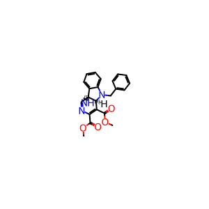 COC(=O)C1=C(C(=O)OC)[C@@H]2N(Cc3ccccc3)c3ccccc3[C@@]23CCNC3=N1